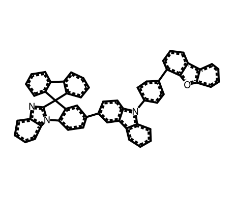 c1ccc2c(c1)-c1ccccc1C21c2cc(-c3ccc4c(c3)c3ccccc3n4-c3ccc(-c4cccc5c4oc4ccccc45)cc3)ccc2-n2c1nc1ccccc12